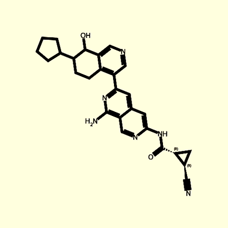 N#C[C@@H]1C[C@H]1C(=O)Nc1cc2cc(-c3cncc4c3CCC(C3CCCC3)C4O)nc(N)c2cn1